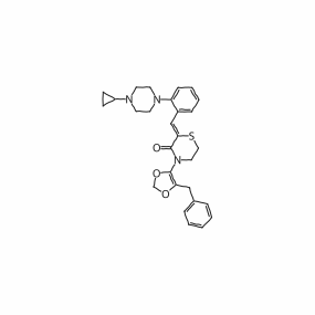 O=C1C(=Cc2ccccc2N2CCN(C3CC3)CC2)SCCN1C1=C(Cc2ccccc2)OCO1